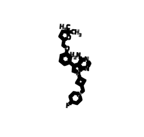 CC1(C)CCC(COc2cccc(-c3cn(C4CC(CN5CCC(F)CC5)C4)c4ncnc(N)c34)c2)O1